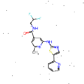 Cc1cc(C(=O)NCC(F)F)cc(Nc2ncc(-c3ccccn3)s2)n1